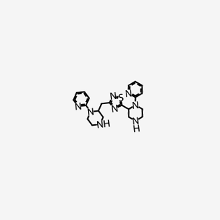 c1ccc(N2CCNCC2Cc2nsc(C3CNCCN3c3ccccn3)n2)nc1